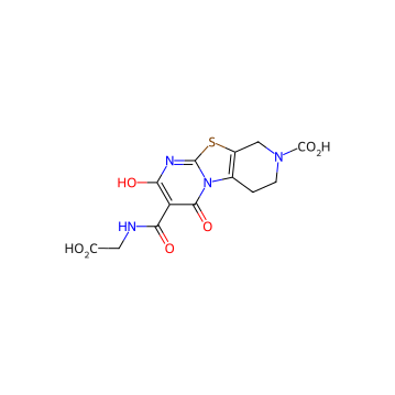 O=C(O)CNC(=O)c1c(O)nc2sc3c(n2c1=O)CCN(C(=O)O)C3